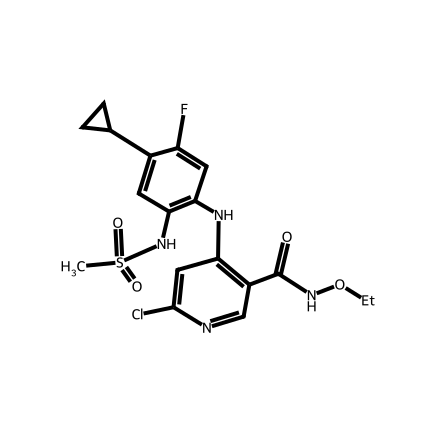 CCONC(=O)c1cnc(Cl)cc1Nc1cc(F)c(C2CC2)cc1NS(C)(=O)=O